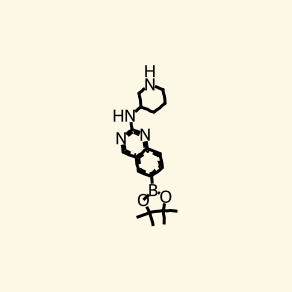 CC1(C)OB(c2ccc3nc(NC4CCCNC4)ncc3c2)OC1(C)C